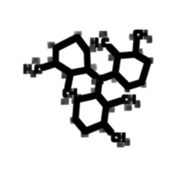 CC1CCCC(N(C2CCCC(C)C2C)C2CCCC(C)C2C)C1C